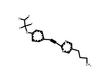 CCCCc1cnc(C#Cc2ccc(OC(F)(F)C(F)F)cc2)nc1